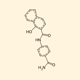 NC(=O)c1ccc(NC(=O)c2ccc3ccccc3c2O)cc1